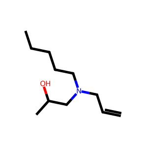 C=CCN(CCCCC)CC(C)O